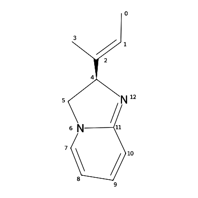 C/C=C(\C)[C@@H]1CN2C=CC=CC2=N1